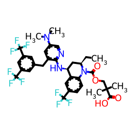 CC[C@@H]1C[C@H](Nc2ncc(N(C)C)cc2Cc2cc(C(F)(F)F)cc(C(F)(F)F)c2)c2cc(C(F)(F)F)ccc2N1C(=O)OCC(C)(C)C(=O)O